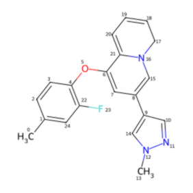 Cc1ccc(OC2=CC(c3cnn(C)c3)=CN3CC=CC=C23)c(F)c1